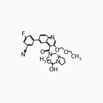 CCOCOc1cnc2ccc(-c3cc(F)cc(C#N)c3)cc2c1C(=O)N(C)C[C@@H]1CCCN1C(=O)O